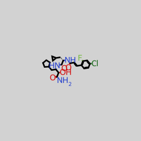 NC(=O)C(O)C(CC1CCCC1)NC(=O)[C@H](CC1CC1)NC(=O)/C=C/c1ccc(Cl)cc1F